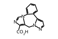 O=C(O)c1ncn2c1Cn1nccc1-c1ccccc1-2